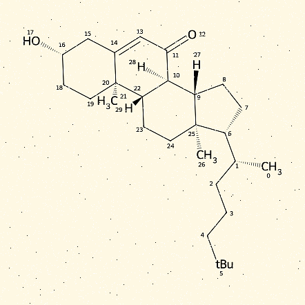 C[C@H](CCCC(C)(C)C)[C@H]1CC[C@H]2[C@@H]3C(=O)C=C4C[C@@H](O)CC[C@]4(C)[C@H]3CC[C@]12C